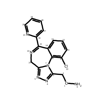 NOCc1nnc2n1-c1c(Cl)cccc1C(c1ccccn1)=NC2